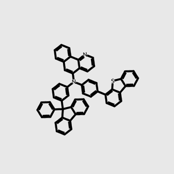 c1ccc(C2(c3cccc(N(c4ccc(-c5cccc6c5sc5ccccc56)cc4)c4cc5ccccc5c5ncccc45)c3)c3ccccc3-c3ccccc32)cc1